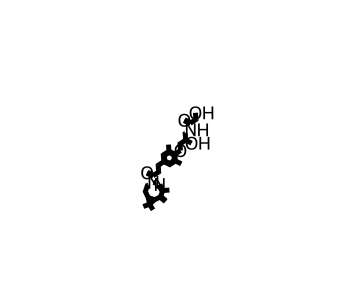 C=C1/C(C)=N\N(C(=O)CCc2cc(C)c(OCC(O)CNC(=O)CO)c(C)c2)CCC2C1C2(C)C